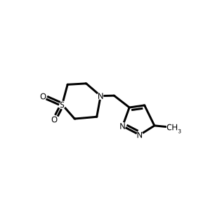 CC1C=C(CN2CCS(=O)(=O)CC2)N=N1